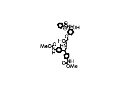 COC(=O)Nc1ccc(C(CNCC(O)COc2ccc(O)c(NS(=O)(=O)c3ccccc3)c2)c2ccc(NC(=O)OC)cc2)cc1